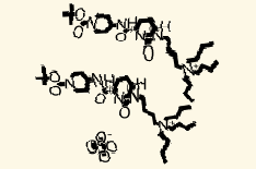 CCCC[N+](CCCC)(CCCC)CCCCN1C(=O)N2C[C@H]1CC[C@H]2C(=O)NC1CCN(C(=O)OC(C)(C)C)CC1.CCCC[N+](CCCC)(CCCC)CCCCN1C(=O)N2C[C@H]1CC[C@H]2C(=O)NC1CCN(C(=O)OC(C)(C)C)CC1.O=S(=O)([O-])[O-]